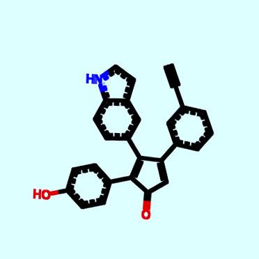 C#Cc1cccc(C2=CC(=O)C(c3ccc(O)cc3)=C2c2ccc3[nH]ccc3c2)c1